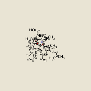 CC(C)=CCCC1(C)C=Cc2c(c(CC=C(C)C)c3c(c2OC(=O)CCl)C2=C4C(Sc5ccccc5N2)C2CC5C(C)(C)OC(C/C=C(/C)C(=O)NCCO)(C2=O)C45O3)O1